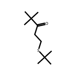 CC(C)(C)SCCC(=O)C(C)(C)C